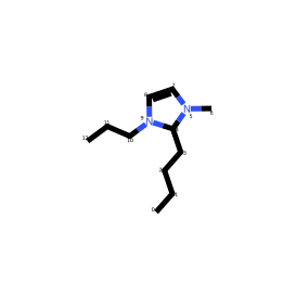 CCCCC1N(C)C=CN1CCC